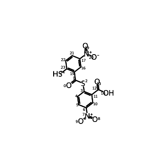 O=C(Sc1ccc([N+](=O)[O-])cc1C(=O)O)c1cc([N+](=O)[O-])ccc1S